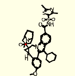 COc1ccc2c(c1)[C@@H]1CC1(C(=O)N1C3CCC1CN(C)C3)Cn1c-2c(C2CCCCC2)c2ccc(C(=O)NS(=O)(=O)c3sc(C)nc3C)cc21